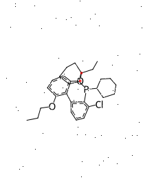 CCCOc1cccc(OCCC)c1-c1cccc(Cl)c1P(C1CCCCC1)C1CCCCC1